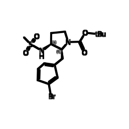 CC(C)(C)OC(=O)N1CC[C@H](NS(C)(=O)=O)[C@@H]1Cc1cccc(Br)c1